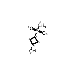 CS(=O)(=O)[C@H]1C[C@H](O)C1